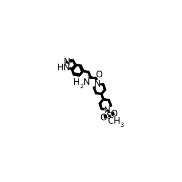 CS(=O)(=O)N1CCC(C2CCN(C(=O)C(N)Cc3ccc4[nH]ncc4c3)CC2)CC1